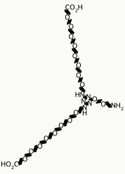 NCCOCCOc1nc(NCCOCCOCCOCCOCCOCCOCCOCCOCCC(=O)O)nc(NCCOCCOCCOCCOCCOCCOCCOCCOCCC(=O)O)n1